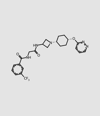 O=C(CNC(=O)c1cccc(C(F)(F)F)c1)NC1CN([C@H]2CC[C@@H](Oc3cccnn3)CC2)C1